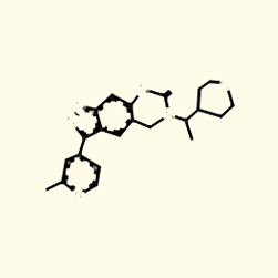 Cc1cc(-c2n[nH]c3cc4c(cc23)CN(C(C)C2CCOCC2)C(=O)N4)ccn1